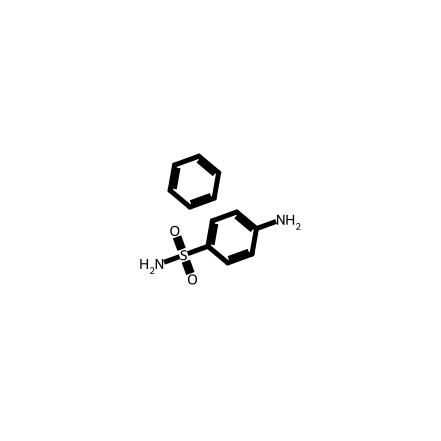 Nc1ccc(S(N)(=O)=O)cc1.c1ccccc1